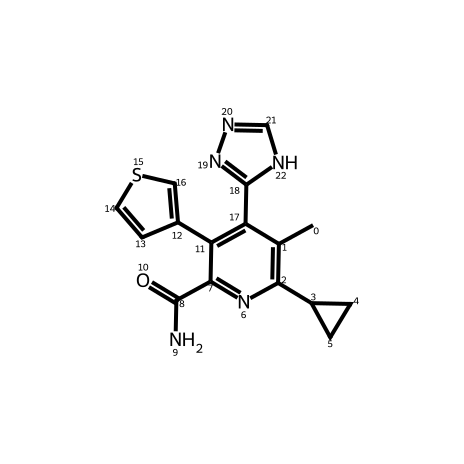 Cc1c(C2CC2)nc(C(N)=O)c(-c2ccsc2)c1-c1nnc[nH]1